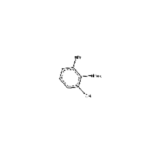 CCCCCCc1c(O)cccc1CCC